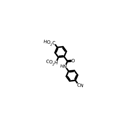 N#Cc1ccc(NC(=O)c2ccc(C(=O)O)cc2C(=O)O)cc1